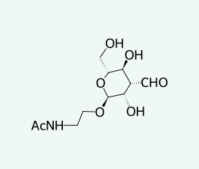 CC(=O)NCCO[C@H]1O[C@H](CO)[C@@H](O)[C@H](C=O)[C@@H]1O